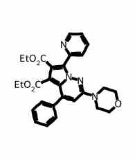 CCOC(=O)c1c(C(=O)OCC)c2c(-c3ccccc3)cc(N3CCOCC3)nn2c1-c1ccccn1